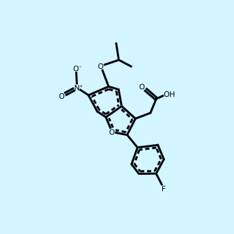 CC(C)Oc1cc2c(CC(=O)O)c(-c3ccc(F)cc3)oc2cc1[N+](=O)[O-]